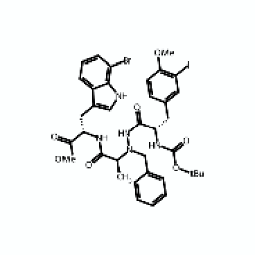 COC(=O)[C@H](Cc1c[nH]c2c(Br)cccc12)NC(=O)[C@H](C)N(Cc1ccccc1)NC(=O)[C@H](Cc1ccc(OC)c(I)c1)NC(=O)OC(C)(C)C